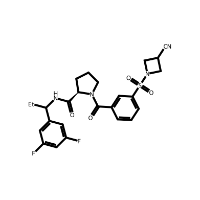 CCC(NC(=O)[C@H]1CCCN1C(=O)c1cccc(S(=O)(=O)N2CC(C#N)C2)c1)c1cc(F)cc(F)c1